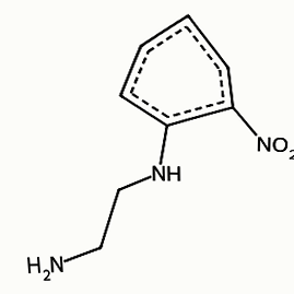 NCCNc1ccccc1[N+](=O)[O-]